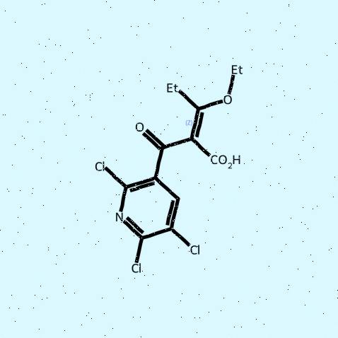 CCO/C(CC)=C(\C(=O)O)C(=O)c1cc(Cl)c(Cl)nc1Cl